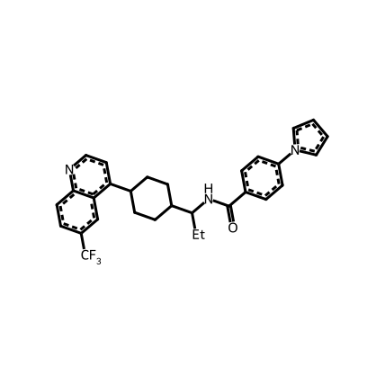 CCC(NC(=O)c1ccc(-n2cccc2)cc1)C1CCC(c2ccnc3ccc(C(F)(F)F)cc23)CC1